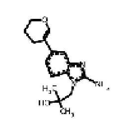 CC(C)(O)Cn1c(N)nc2cc(C3=COCCC3)ccc21